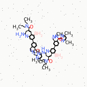 Bc1cc(-c2ccc(C=O)c(/C=C\N(C)Cc3nc(C)cc(NC4=Nc5cc(-c6ccc(C=O)c(/C=N\N(C)Cc7nc(C)cc(C)n7)c6)cc(B)c5C=C(C(=O)N(CCC)CCC)C4)n3)c2)cc2c1C=C(C(=O)N(CCC)CCC)CC(N)=N2